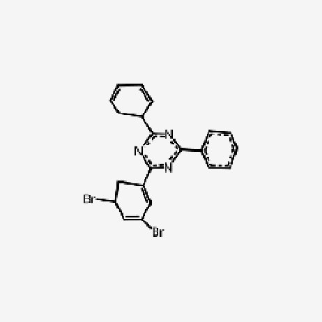 BrC1=CC(Br)CC(c2nc(-c3ccccc3)nc(C3C=CC=CC3)n2)=C1